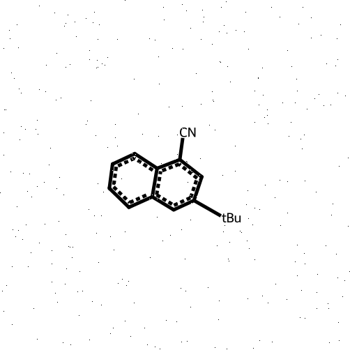 CC(C)(C)c1cc(C#N)c2ccccc2c1